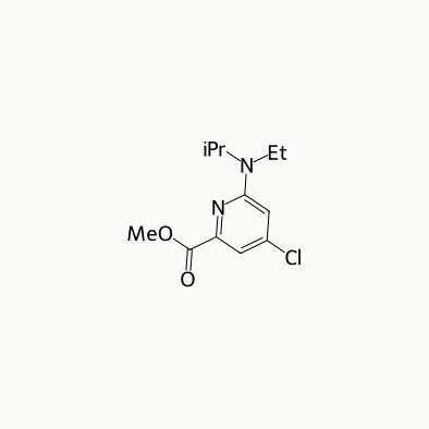 CCN(c1cc(Cl)cc(C(=O)OC)n1)C(C)C